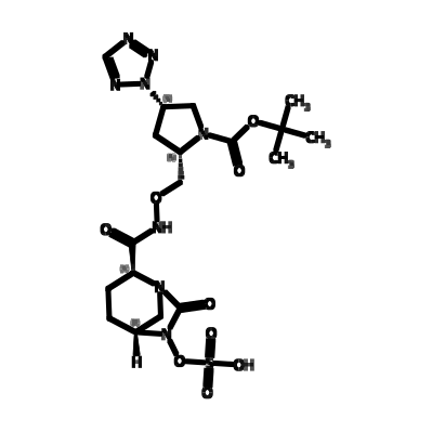 CC(C)(C)OC(=O)N1C[C@@H](n2ncnn2)C[C@H]1CONC(=O)[C@@H]1CC[C@@H]2CN1C(=O)N2OS(=O)(=O)O